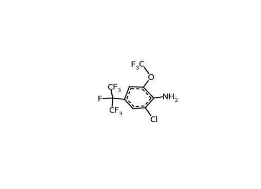 Nc1c(Cl)cc(C(F)(C(F)(F)F)C(F)(F)F)cc1OC(F)(F)F